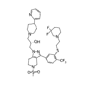 CS(=O)(=O)N1CCc2c(c(-c3ccc(C(F)(F)F)c(SCCN4CCCC(F)(F)C4)c3)nn2C[C@@H](O)CN2CCC(c3ccccn3)CC2)C1